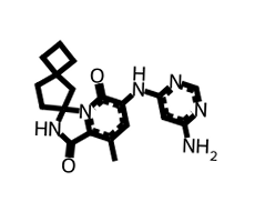 Cc1cc(Nc2cc(N)ncn2)c(=O)n2c1C(=O)NC21CCC2(CCC2)C1